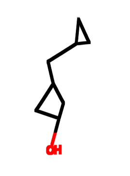 OC1CC(CC2CC2)C1